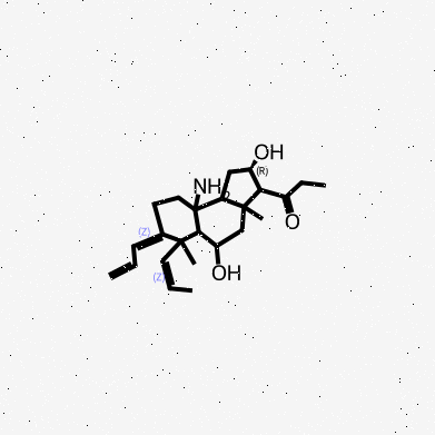 C=C/C=C1/CCC2(N)C(C(O)CC3(C)C(C(=O)CC)[C@H](O)CC32)C1(C)/C=C\C